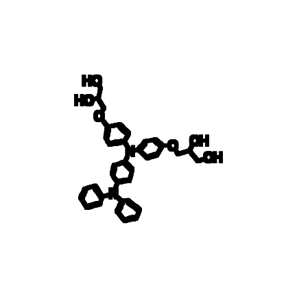 OCC(O)COc1ccc(N(c2ccc(OCC(O)CO)cc2)c2ccc(N(c3ccccc3)c3ccccc3)cc2)cc1